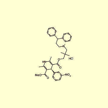 COC(=O)C1=C(C)NC(C)=C(C(=O)OCC(C)(C)CN(C)CCC(c2ccccc2)c2ccccc2)[C@H]1c1cccc([N+](=O)[O-])c1.Cl